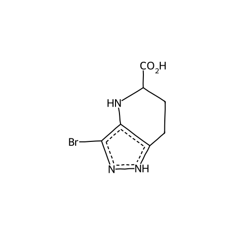 O=C(O)C1CCc2[nH]nc(Br)c2N1